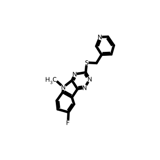 Cn1c2ccc(F)cc2c2nnc(SCc3cccnc3)nc21